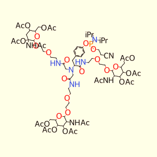 CC(=O)NC1C(OCCOCCNC(=O)CN(CC(=O)NCCOCCOC2OC(COC(C)=O)C(OC(C)=O)CC2(NC(C)=O)OC(C)=O)C(Cc2ccc(OP(OCCC#N)N(C(C)C)C(C)C)cc2)C(=O)NCCOCCOC2OC(COC(C)=O)C(OC(C)=O)C(OC(C)=O)C2NC(C)=O)OC(COC(C)=O)C(OC(C)=O)C1OC(C)=O